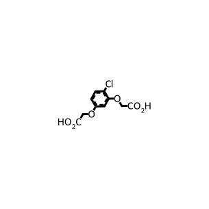 O=C(O)COc1ccc(Cl)c(OCC(=O)O)c1